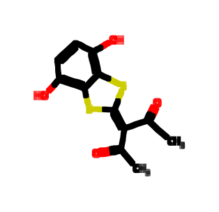 CC(=O)C(C(C)=O)=C1Sc2c(O)ccc(O)c2S1